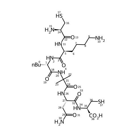 CCCC[C@H](NC(=O)[C@H](CCCCN)NC(=O)[C@@H](N)CS)C(=O)NC(C)(C)C(=O)N[C@@H](CC(N)=O)C(=O)N[C@@H](CS)C(=O)O